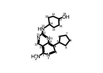 Nc1ncc(C2CCCC2)c2nc(NC3CCC(O)CC3)ncc12